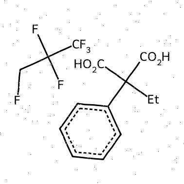 CCC(C(=O)O)(C(=O)O)c1ccccc1.FCC(F)(F)C(F)(F)F